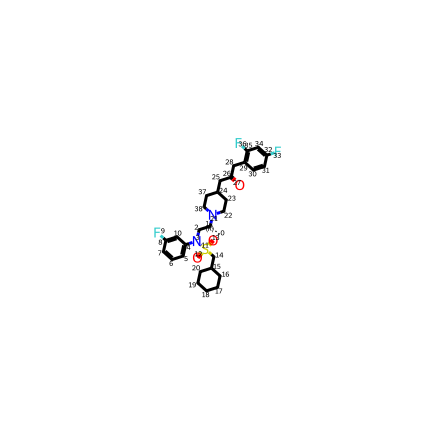 C[C@H](CN(c1cccc(F)c1)S(=O)(=O)CC1CCCCC1)N1CCC(CC(=O)Cc2ccc(F)cc2F)CC1